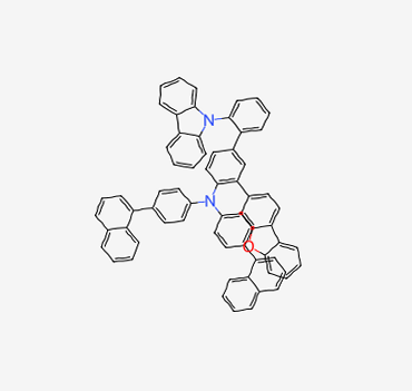 c1ccc(-n2c3ccccc3c3ccccc32)c(-c2ccc(N(c3ccc(-c4cccc5ccccc45)cc3)c3ccc(-c4cccc5ccccc45)cc3)c(-c3ccc4c(c3)oc3ccccc34)c2)c1